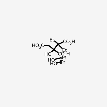 CC(C)O.CC(C)O.CCC(CC)(C(=O)O)C(O)(CC(=O)O)C(=O)O